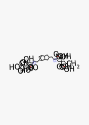 C=C(CC(C/C(=C/CC1CC2C3CC(C/C=C(/CC(CC(=C)C(=O)O)(C(=O)O)C(=O)O)C(=O)O)C(C3)C2C1)C(=O)O)(C(=O)O)C(=O)O)C(=O)O